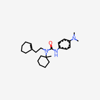 CN(C)c1ccc(NC(=O)N(CCC2=CCCCC2)C2(C)CCCCC2)cc1